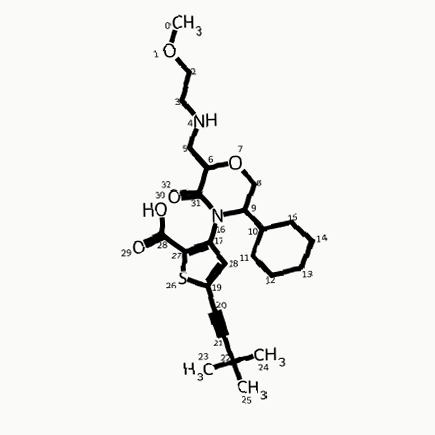 COCCNCC1OCC(C2CCCCC2)N(c2cc(C#CC(C)(C)C)sc2C(=O)O)C1=O